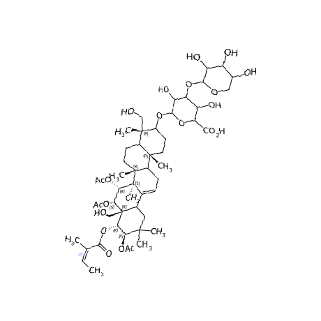 C/C=C(/C)C(=O)O[C@H]1[C@H](OC(C)=O)C(C)(C)CC2C3=CCC4[C@@]5(C)CCC(OC6OC(C(=O)O)C(O)C(OC7OCC(O)C(O)C7O)C6O)[C@@](C)(CO)C5CC[C@@]4(C)[C@]3(C)[C@@H](OC(C)=O)[C@@H](OC(C)=O)[C@]21CO